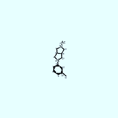 CC(=O)N1CC2CN(c3cccc(C)c3)CC2C1